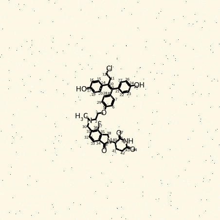 CN(CCOc1ccc(C(=C(CCCl)c2ccc(O)cc2)c2ccc(O)cc2)cc1)Cc1ccc2c(c1F)CN(C1CCC(=O)NC1=O)C2=O